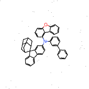 c1ccc(-c2cccc(N(c3ccc4c(c3)C3(c5ccccc5-4)C4CC5CC(C4)CC3C5)c3cccc4oc5ccccc5c34)c2)cc1